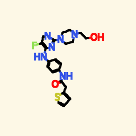 O=C(Cc1cccs1)Nc1ccc(Nc2nc(N3CCN(CCO)CC3)ncc2F)cc1